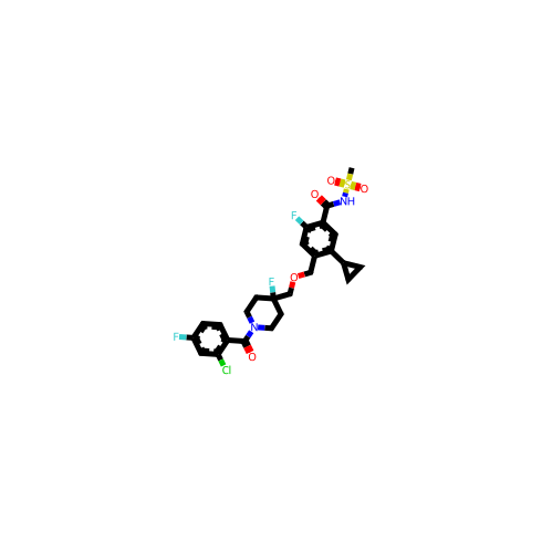 CS(=O)(=O)NC(=O)c1cc(C2CC2)c(COCC2(F)CCN(C(=O)c3ccc(F)cc3Cl)CC2)cc1F